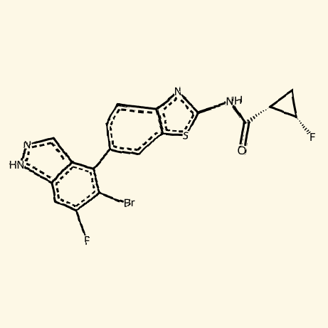 O=C(Nc1nc2ccc(-c3c(Br)c(F)cc4[nH]ncc34)cc2s1)[C@@H]1C[C@@H]1F